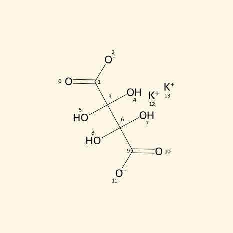 O=C([O-])C(O)(O)C(O)(O)C(=O)[O-].[K+].[K+]